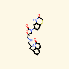 O=C1CSc2ccc(N3C[C@@H](CNCC4Cc5cccc6ccc(=O)n4c56)OC3=O)cc2N1